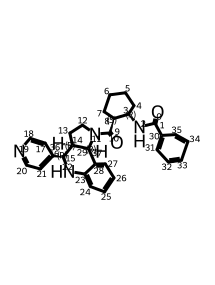 O=C(N[C@@H]1CCCC[C@@H]1C(=O)N1CC[C@@H]2[C@H](c3ccncc3)Nc3ccccc3[C@@H]21)c1ccccc1